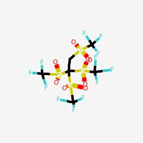 O=S(=O)(CC(S(=O)(=O)C(F)(F)F)(S(=O)(=O)C(F)(F)F)S(=O)(=O)C(F)(F)F)C(F)(F)F